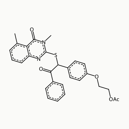 CC(=O)OCCOc1ccc(C(Sc2nc3cccc(C)c3c(=O)n2C)C(=O)c2ccccc2)cc1